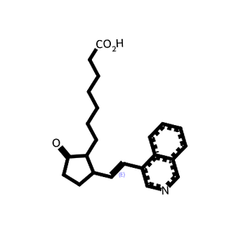 O=C(O)CCCCCCC1C(=O)CCC1/C=C/c1cncc2ccccc12